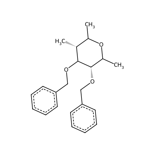 CC1OC(C)[C@H](OCc2ccccc2)C(OCc2ccccc2)[C@@H]1C